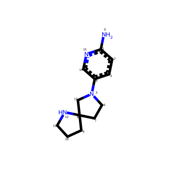 Nc1ccc(N2CCC3(CCCN3)C2)cn1